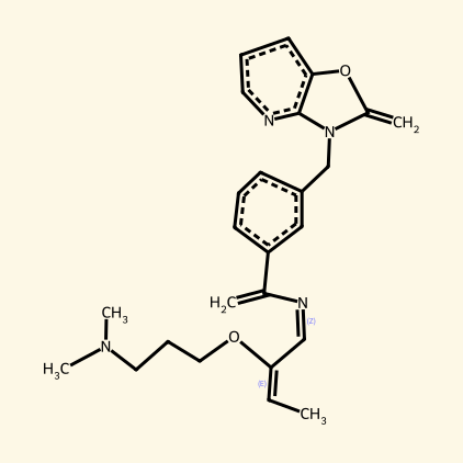 C=C(/N=C\C(=C/C)OCCCN(C)C)c1cccc(CN2C(=C)Oc3cccnc32)c1